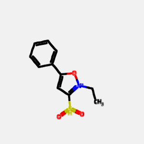 CC[n+]1oc(-c2ccccc2)cc1[SH](=O)=O